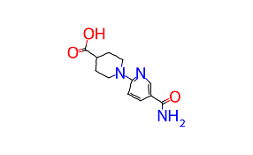 NC(=O)c1ccc(N2CCC(C(=O)O)CC2)nc1